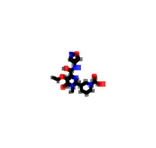 CCOc1c(C(=O)Nc2cnoc2)nc(C2CCCN(C(=O)O)C2)n(C)c1=O